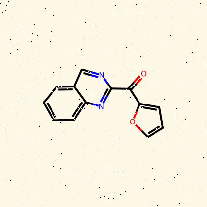 O=C(c1ncc2ccccc2n1)c1ccco1